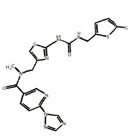 CN(Cc1csc(NC(=O)NCc2ccc(Cl)s2)n1)C(=O)c1ccc(-n2cncn2)nc1